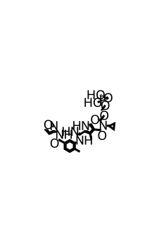 Cc1ccc(C(=O)Nc2ccon2)cc1NC(=N)c1[nH]cc(C(=O)N(C(=O)OCOP(=O)(O)O)C2CC2)c1C